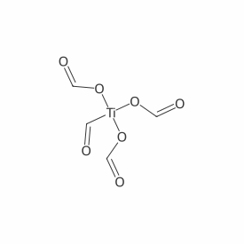 O=C[O][Ti]([CH]=O)([O]C=O)[O]C=O